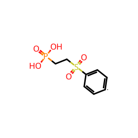 O=P(O)(O)CCS(=O)(=O)c1cc[c]cc1